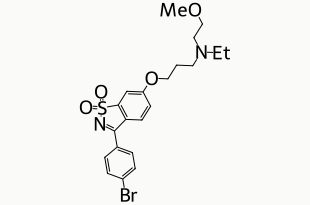 CCN(CCCOc1ccc2c(c1)S(=O)(=O)N=C2c1ccc(Br)cc1)CCOC